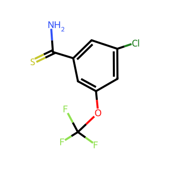 NC(=S)c1cc(Cl)cc(OC(F)(F)F)c1